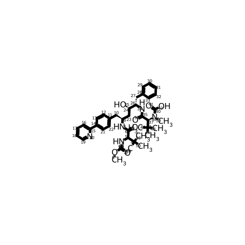 COC(=O)NC(C(=O)N[C@@H](Cc1ccc(-c2ccccn2)cc1)C[C@H](O)[C@H](Cc1ccccc1)NC(=O)[C@@H](N(C)C(=O)O)C(C)(C)C)C(C)(C)C